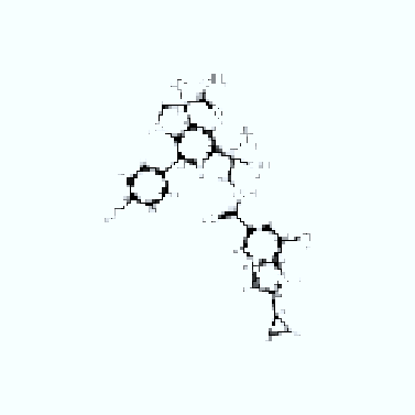 CC[C@]1(C(N)=O)COc2c1cc([C@@](O)(CNC(=O)c1cc(Cl)c3nc(C4CC4)cn3c1)C(F)(F)F)nc2-c1ccc(F)cc1